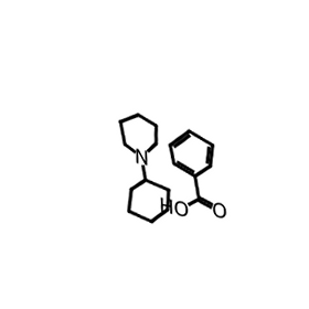 C1CCC(N2CCCCC2)CC1.O=C(O)c1ccccc1